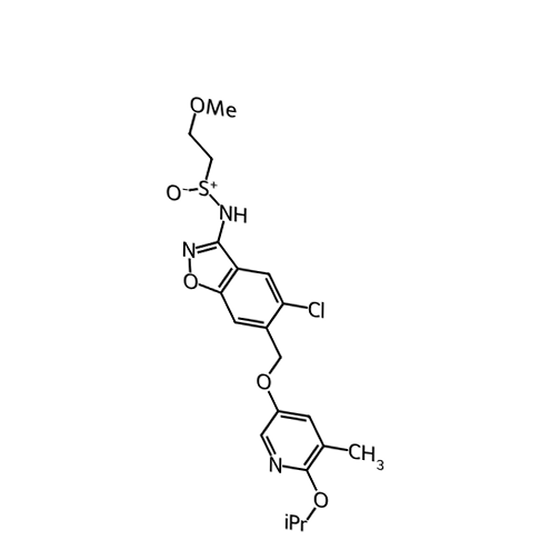 COCC[S+]([O-])Nc1noc2cc(COc3cnc(OC(C)C)c(C)c3)c(Cl)cc12